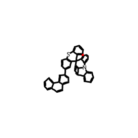 c1ccc2c(c1)Sc1ccc(-c3ccc4ccc5ccccc5c4c3)cc1C21c2ccccc2-n2c3ccccc3c3cccc1c32